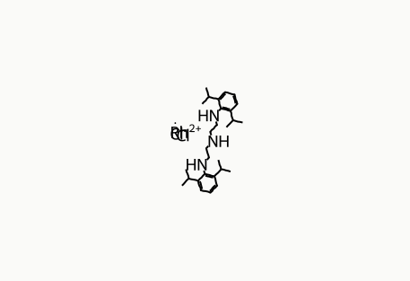 CC(C)c1cccc(C(C)C)c1NCCNCCNc1c(C(C)C)cccc1C(C)C.[Cl-].[Cl-].[Rh+2]